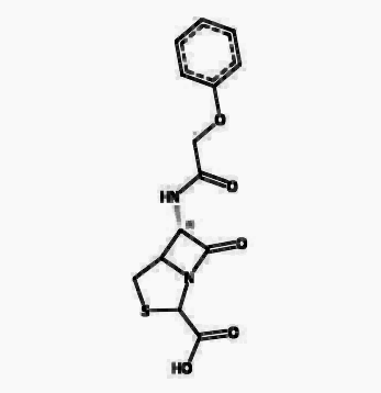 O=C(COc1ccccc1)N[C@@H]1C(=O)N2C(C(=O)O)SCC12